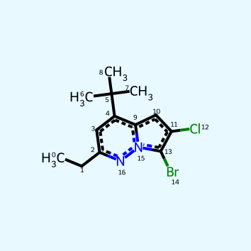 CCc1cc(C(C)(C)C)c2cc(Cl)c(Br)n2n1